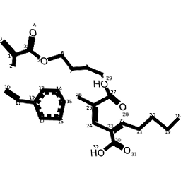 C=C(C)C(=O)OCCCC.C=Cc1ccccc1.CCCCC=C(C=C(C)C(=O)O)C(=O)O